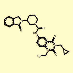 O=C(Nc1ccc2c(c1)c(=O)n(CC1CC1)c(=O)n2CC(F)(F)F)N1CCCC(N2Cc3ccccc3C2=O)C1